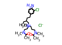 CCC(CCc1ccc(N)c(Cl)c1)C[N+](C)(CCCN(C)C(C)=O)CCN(C)C(C)=O.[Cl-]